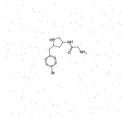 NCC(=O)NC1CNC(Cc2ccc(Br)cc2)C1